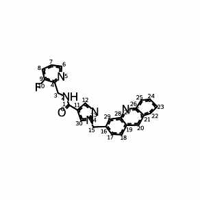 O=C(NCc1ncccc1F)c1cnn(Cc2ccc3cc4ccccc4nc3c2)c1